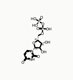 O=c1ccn([C@@H]2O[C@H](COP(=O)(O)OP(=O)(O)O)[C@H](O)C2O)c(=O)[nH]1